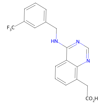 O=C(O)Cc1cccc2c(NCc3cccc(C(F)(F)F)c3)ncnc12